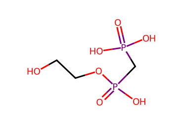 O=P(O)(O)CP(=O)(O)OCCO